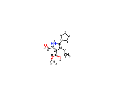 CCc1c(C2CCCC2)[nH]c(C=O)c1C(=O)OC